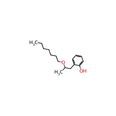 CCCCCCCOC(C)Cc1ccccc1O